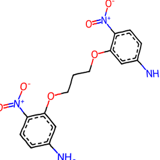 Nc1ccc([N+](=O)[O-])c(OCCCOc2cc(N)ccc2[N+](=O)[O-])c1